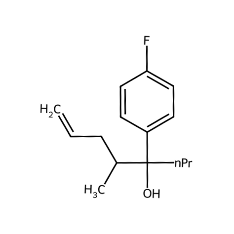 C=CCC(C)C(O)(CCC)c1ccc(F)cc1